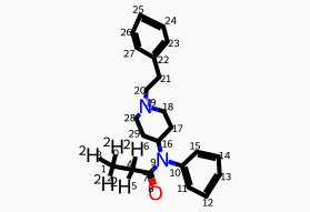 [2H]C([2H])([2H])C([2H])([2H])C(=O)N(c1ccccc1)C1CCN(CCc2ccccc2)CC1